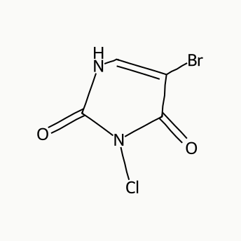 O=c1[nH]cc(Br)c(=O)n1Cl